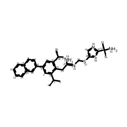 CC(C)c1cc(-c2ccc3ccccc3c2)cc(C(C)C)c1CC(N)=NCSc1cnc(C(C)(C)N)s1